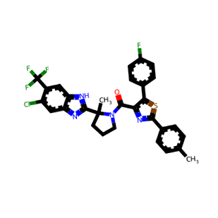 Cc1ccc(-c2nc(C(=O)N3CCCC3(C)c3nc4cc(Cl)c(C(F)(F)F)cc4[nH]3)c(-c3ccc(F)cc3)s2)cc1